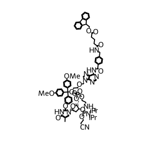 COc1ccc(C(OCC(OCn2cnc3c(NC(=O)c4ccc(CNC(=O)CCCC(=O)OCC5c6ccccc6-c6ccccc65)cc4)ncnc32)OP(=O)(OCCN)OC[C@H]2O[C@@H](n3cc(C)c(=O)[nH]c3=O)CC2OP(OCCC#N)N(C(C)C)C(C)C)(c2ccccc2)c2ccc(OC)cc2)cc1